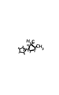 Cc1ccc(N2CCCC2)cc1C